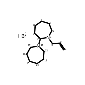 Br.C=CCN1CCCCCC1N1CCCCCC1